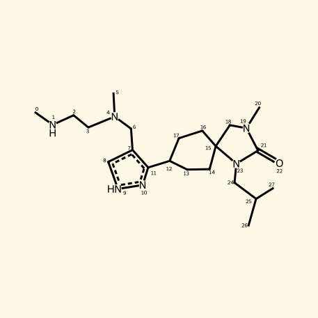 CNCCN(C)Cc1c[nH]nc1C1CCC2(CC1)CN(C)C(=O)N2CC(C)C